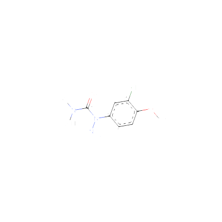 CC(C)Oc1ccc(N(N)C(=O)N(C)C)cc1Cl